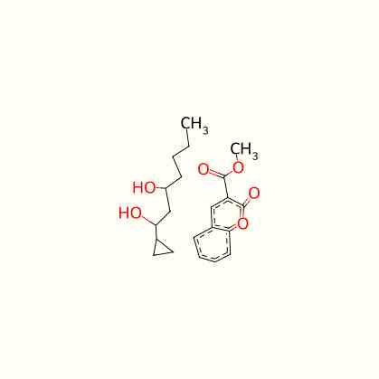 CCCCC(O)CC(O)C1CC1.COC(=O)c1cc2ccccc2oc1=O